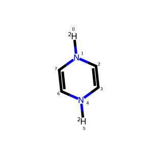 [2H]N1C=CN([2H])C=C1